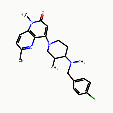 CC1CN(c2cc(=O)n(C)c3ccc(C#N)nc23)CCC1N(C)Cc1ccc(F)cc1